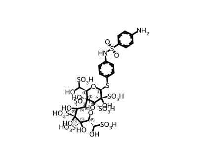 Nc1ccc(S(=O)(=O)Nc2ccc(S[C@@H]3O[C@H](C(O)S(=O)(=O)O)[C@](O)([C@@H]4O[C@H](C(O)S(=O)(=O)O)[C@](O)(S(=O)(=O)O)[C@@](O)(S(=O)(=O)O)[C@]4(O)S(=O)(=O)O)[C@@](O)(S(=O)(=O)O)[C@]3(O)S(=O)(=O)O)cc2)cc1